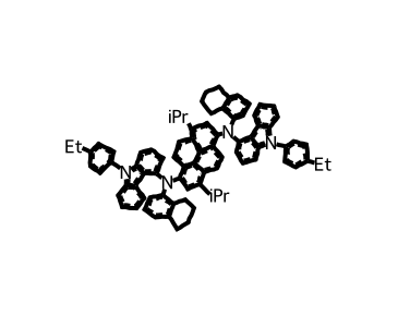 CCc1ccc(-n2c3ccccc3c3c(N(c4cccc5c4CCCC5)c4cc(C(C)C)c5ccc6c(N(c7cccc8c7CCCC8)c7cccc8c7c7ccccc7n8-c7ccc(CC)cc7)cc(C(C)C)c7ccc4c5c76)cccc32)cc1